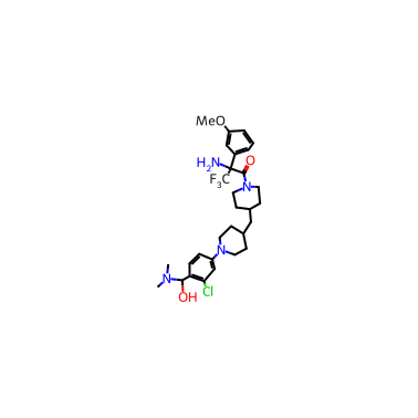 COc1cccc(C(N)(C(=O)N2CCC(CC3CCN(c4ccc(C(O)N(C)C)c(Cl)c4)CC3)CC2)C(F)(F)F)c1